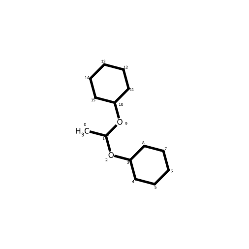 C[C](OC1CCCCC1)OC1CCCCC1